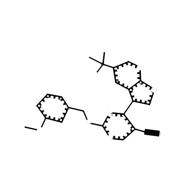 COc1cccc(CNc2ncc(C#N)c(-c3c[nH]c4ncc(C(F)(F)F)cc34)n2)c1